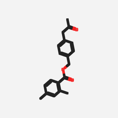 CC(=O)Cc1ccc(COC(=O)c2ccc(C)cc2C)cc1